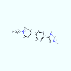 Cn1cnc(-c2ccc(C3=CCN(C(=O)O)CC3)cc2)c1